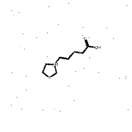 O=C(O)CCCC[SH]1CCSC1